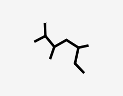 [CH2]C(C)C(C)CC(C)CC